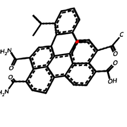 CC(C)c1cccc(C(C)C)c1-c1cc(C(N)=O)c2c(C(N)=O)ccc3c4ccc(C(=O)O)c5c(C(=O)O)ccc(c1c23)c54